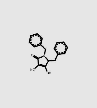 N#CC1=C(O)C(Cc2ccccc2)N(Cc2ccccc2)C1=O